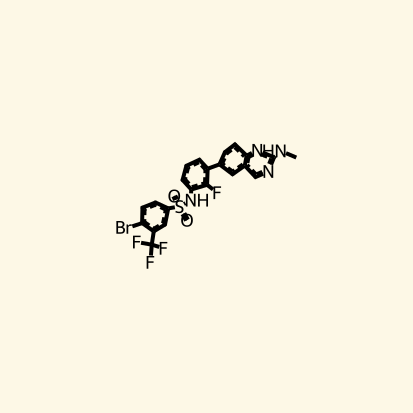 CNc1ncc2cc(-c3cccc(NS(=O)(=O)c4ccc(Br)c(C(F)(F)F)c4)c3F)ccc2n1